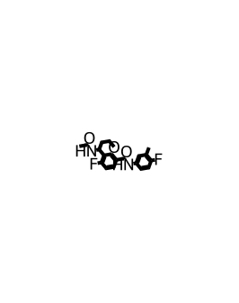 CC(=O)NC1CCOc2c(C(=O)Nc3ccc(F)c(C)c3)ccc(F)c21